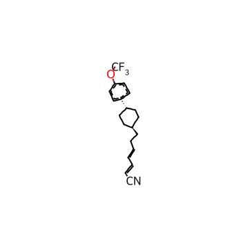 N#CC=CC=CCC[C@H]1CC[C@H](c2ccc(OC(F)(F)F)cc2)CC1